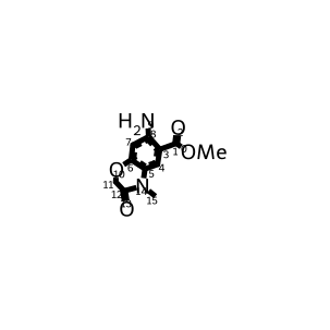 COC(=O)c1cc2c(cc1N)OCC(=O)N2C